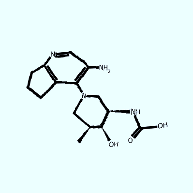 C[C@H]1CN(c2c(N)cnc3c2CCC3)C[C@@H](NC(=O)O)[C@H]1O